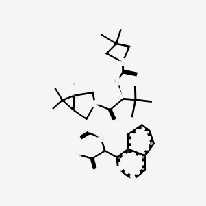 CC1(F)CN(C(=O)N[C@H](C(=O)N2C[C@H]3[C@@H]([C@H]2C(=O)NC(C(N)=O)c2nncc4ccccc24)C3(C)C)C(C)(C)C)C1